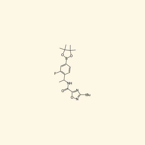 CC(NC(=O)c1nc(C(C)(C)C)no1)c1ccc(B2OC(C)(C)C(C)(C)O2)cc1F